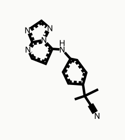 CC(C)(C#N)c1ccc(Nc2ccnc3ncnn23)cc1